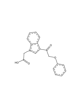 O=C(O)Cn1cc(C(=O)COc2ccccc2)c2ccccc21